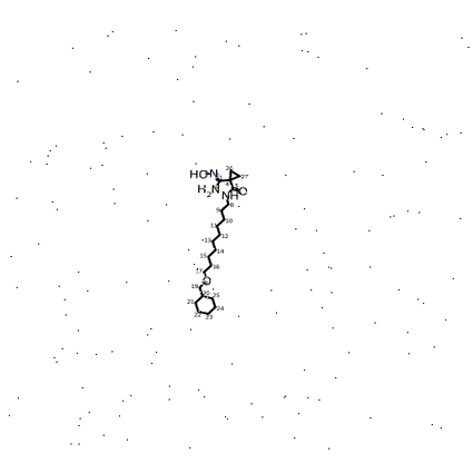 N/C(=N\O)C1(C(=O)NCCCCCCCCCCOCC2CCCCC2)CC1